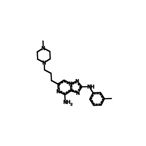 Cc1cccc(Nc2nc3c(N)nc(CCCN4CCN(C)CC4)cn3n2)c1